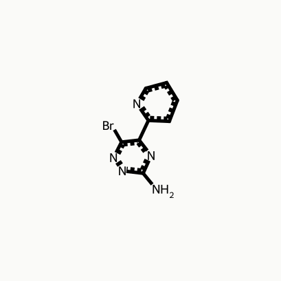 Nc1nnc(Br)c(-c2ccccn2)n1